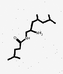 CC(C)CCC(=O)NCC(N)CC(C)CC(C)C